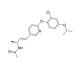 CC(=O)N[C@@H](C)/C=C/c1ccc(Oc2ccc(OC(C)C)cc2Cl)nc1